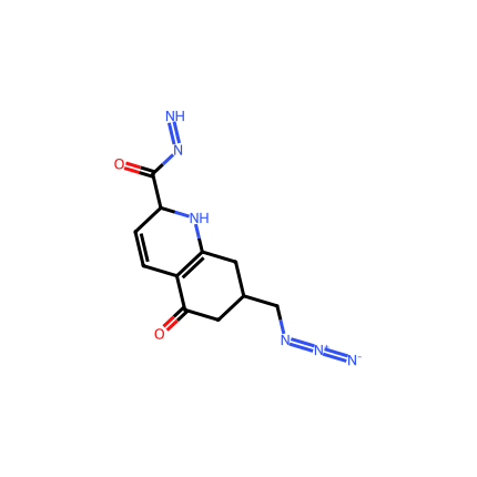 [N-]=[N+]=NCC1CC(=O)C2=C(C1)NC(C(=O)N=N)C=C2